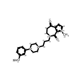 COc1cccc(N2CCN(CCCN3CCC(=O)c4ccn(C)c4C3=O)CC2)c1